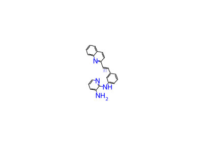 Nc1cccnc1Nc1cccc(/C=C/c2ccc3ccccc3n2)c1